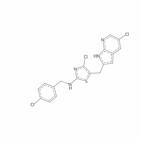 Clc1ccc(CNc2nc(Cl)c(Cc3cc4cc(Cl)cnc4[nH]3)s2)cc1